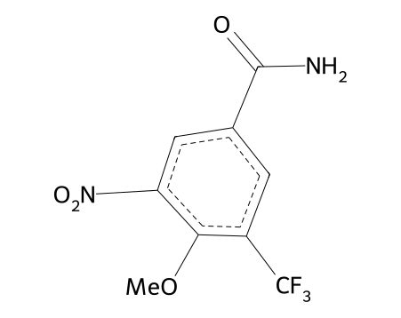 COc1c([N+](=O)[O-])cc(C(N)=O)cc1C(F)(F)F